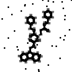 O=C(CC[C@H](NC(=O)OCC1c2ccccc2-c2ccccc21)C(=O)OCc1ccccc1)OCc1ccccc1